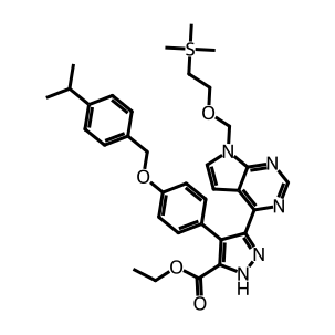 CCOC(=O)c1[nH]nc(-c2ncnc3c2ccn3COCCS(C)(C)C)c1-c1ccc(OCc2ccc(C(C)C)cc2)cc1